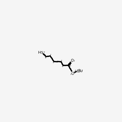 CC(C)(C)OC(=O)CCCCCS